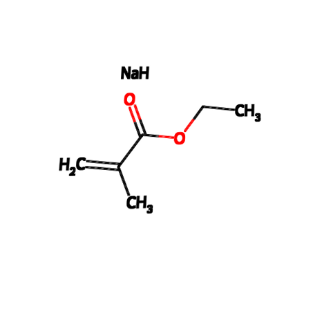 C=C(C)C(=O)OCC.[NaH]